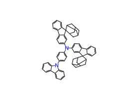 c1ccc2c(c1)-c1ccc(N(c3ccc(-n4c5ccccc5c5ccccc54)cc3)c3ccc4c(c3)C3(c5ccccc5-4)C4CC5CC(C4)CC3C5)cc1C21C2CC3CC(C2)CC1C3